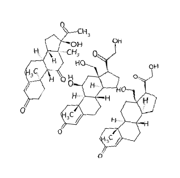 CC(=O)[C@@]1(O)CC[C@H]2[C@@H]3CCC4=CC(=O)CC[C@]4(C)[C@H]3C(=O)C[C@@]21C.C[C@]12CCC(=O)C=C1CC[C@@H]1[C@@H]2[C@@H](O)C[C@]2(CO)[C@@H](C(=O)CO)CC[C@@H]12.C[C@]12CCC(=O)C=C1CC[C@H]1[C@@H]3CC[C@H](C(=O)CO)[C@@]3(CO)CC[C@@H]12